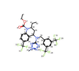 CCOC(=O)N1c2ccc(C(F)(F)F)cc2C(N(Cc2cc(C(F)(F)F)cc(C(F)(F)F)c2)c2nnn(C)n2)CC1CC